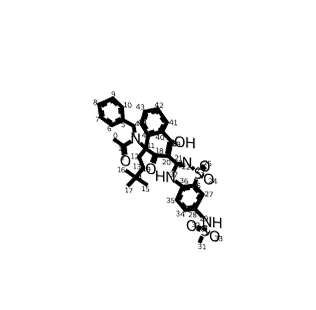 CC(=O)N(Cc1ccccc1)C1(CCC(C)(C)C)C(=O)C(C2=NS(=O)(=O)c3cc(NS(C)(=O)=O)ccc3N2)=C(O)c2ccccc21